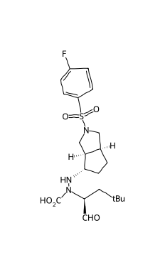 CC(C)(C)C[C@@H](C=O)N(N[C@H]1CC[C@@H]2CN(S(=O)(=O)c3ccc(F)cc3)C[C@@H]21)C(=O)O